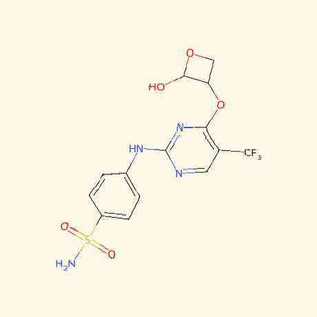 NS(=O)(=O)c1ccc(Nc2ncc(C(F)(F)F)c(OC3COC3O)n2)cc1